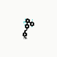 CCCc1ccc(CCc2ccc(-c3c(-c4cc(F)ccc4F)ccc(F)c3F)c(F)c2)cc1